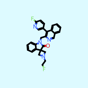 O=C1N(Cc2ncc3ccccc3c2-c2ccc(F)nc2)c2ccccc2C12CN(CCF)C2